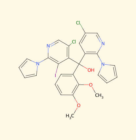 COc1cccc(C(O)(c2cc(Cl)cnc2-n2cccc2)c2c(Cl)cnc(-n3cccc3)c2I)c1OC